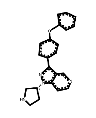 c1ccc(Oc2ccc(-c3nn([C@@H]4CCNC4)c4ccncc34)cc2)cc1